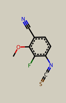 COc1c(C#N)ccc(N=C=S)c1F